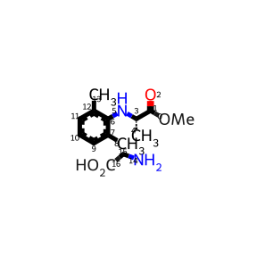 COC(=O)[C@H](C)Nc1c(C)cccc1C.NCC(=O)O